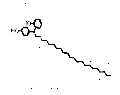 CCCCCCCCCCCCCCCCCCCCCCC(c1ccc(O)cc1)c1ccccc1O